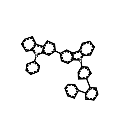 c1ccc(-c2ccccc2-c2ccc(-n3c4ccccc4c4cc(-c5ccc6c7ccccc7n(-c7ccccc7)c6c5)ccc43)cc2)cc1